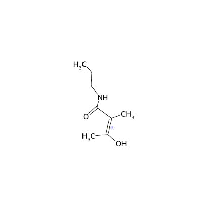 CCCNC(=O)/C(C)=C(\C)O